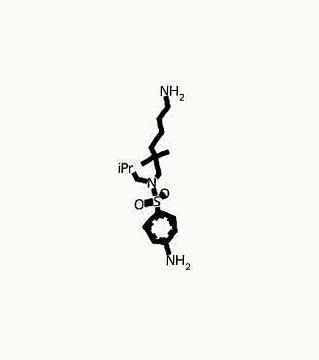 CC(C)CN(CC(C)(C)CCCCN)S(=O)(=O)c1ccc(N)cc1